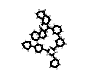 c1ccc(-c2ccc(-c3nc(-c4ccccc4)nc(-c4cccc(-c5cccc(-c6c7ccc8ccccc8c7nc7c6ccc6ccccc67)c5)c4)n3)cc2)cc1